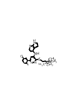 C[SH](C)(C)(C)CCSc1nnc(-c2cc(Cl)ccc2F)cc1Nc1ccnc2[nH]ccc12